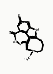 CN1CCCCc2[nH]c3cc(F)cc4c3c2C(=NNC4=O)C1